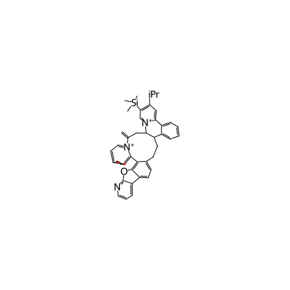 C=C1CC2C(CCc3ccc4c(oc5ncccc54)c3-c3c4c(cc[n+]31)CCCC4)c1ccccc1-c1cc(C(C)C)c([Si](C)(C)C)c[n+]12